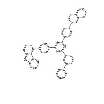 c1ccc(-c2cccc(-c3nc(-c4ccc(-c5ccc6ccccc6c5)cc4)nc(-c4ccc(-c5cccc6oc7ccccc7c56)cc4)n3)c2)cc1